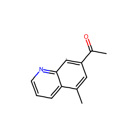 CC(=O)c1[c]c2ncccc2c(C)c1